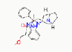 COCCC(=O)N[C@@H](CCN1[C@@H]2CC[C@H]1C[C@@H](n1c(C)nc3ccccc31)C2)c1ccccc1